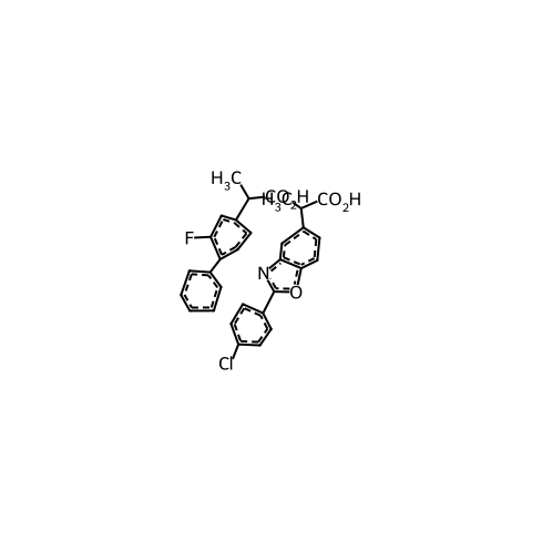 CC(C(=O)O)c1ccc(-c2ccccc2)c(F)c1.CC(C(=O)O)c1ccc2oc(-c3ccc(Cl)cc3)nc2c1